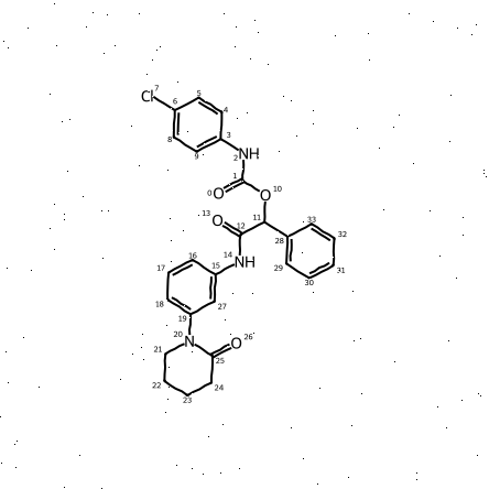 O=C(Nc1ccc(Cl)cc1)OC(C(=O)Nc1cccc(N2CCCCC2=O)c1)c1ccccc1